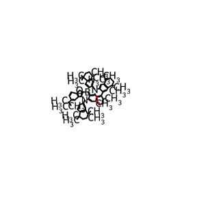 Cc1cc2c3c(c1)N(c1ccc4c(c1)C(C)(C)CCC4(C)C)c1c(oc4ccc(C(C)(C)C)cc14)B3c1cc3c(cc1N2c1cc2c(cc1-c1ccccc1C)C(C)(C)CCC2(C)C)C(C)(C)CCC3(C)C